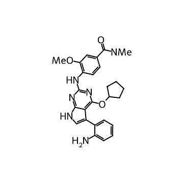 CNC(=O)c1ccc(Nc2nc(OC3CCCC3)c3c(-c4ccccc4N)c[nH]c3n2)c(OC)c1